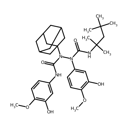 COc1ccc(NC(=O)N(N(C(=O)NC(C)(C)CC(C)(C)C)c2ccc(OC)c(O)c2)C23CC4CC(CC(C4)C2)C3)cc1O